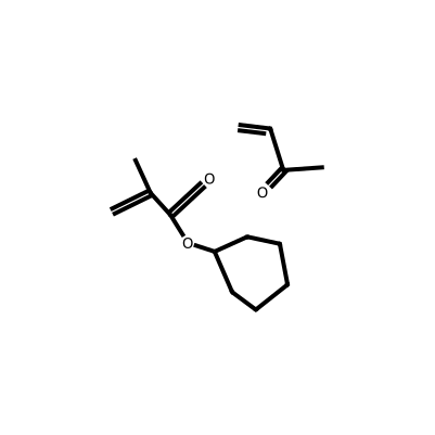 C=C(C)C(=O)OC1CCCCC1.C=CC(C)=O